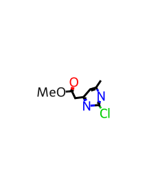 COC(=O)Cc1cc(C)nc(Cl)n1